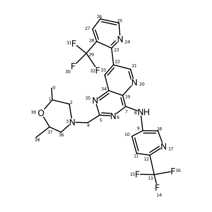 CC1CN(Cc2nc(Nc3ccc(C(F)(F)F)nc3)c3ncc(-c4ncccc4C(F)(F)F)cc3n2)CC(C)O1